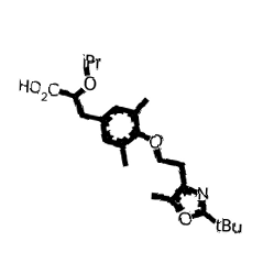 Cc1cc(CC(OC(C)C)C(=O)O)cc(C)c1OCCc1nc(C(C)(C)C)oc1C